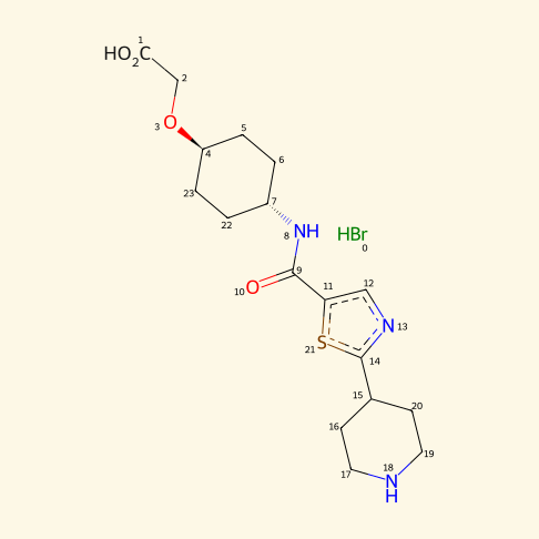 Br.O=C(O)CO[C@H]1CC[C@H](NC(=O)c2cnc(C3CCNCC3)s2)CC1